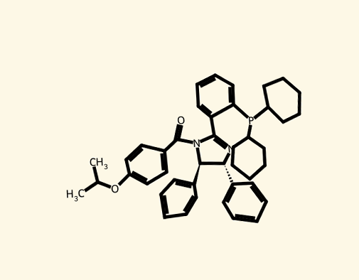 CC(C)Oc1ccc(C(=O)N2C(c3ccccc3P(C3CCCCC3)C3CCCCC3)=N[C@H](c3ccccc3)[C@H]2c2ccccc2)cc1